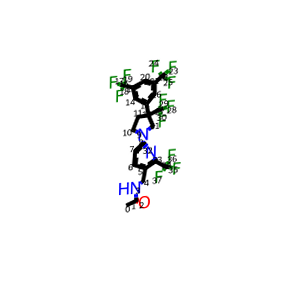 CC(=O)NCc1ccc(N2CCC(c3cc(C(F)(F)F)cc(C(F)(F)F)c3)(C(F)(F)F)C2)nc1C(F)(F)F